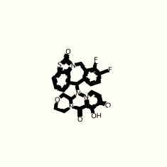 O=C1c2c(O)c(=O)ccn2N(C2c3ccc(F)c(F)c3Cn3c(=O)sc4cccc2c43)C2COCCN12